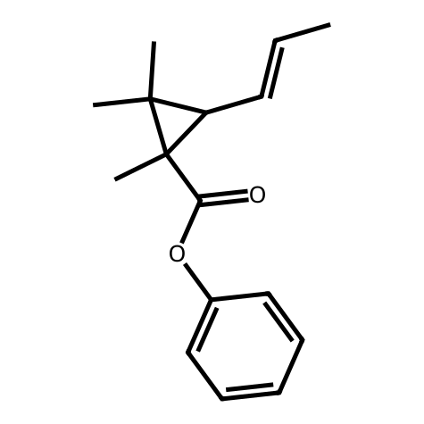 CC=CC1C(C)(C)C1(C)C(=O)Oc1ccccc1